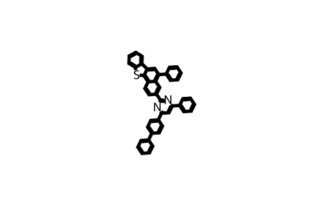 c1ccc(-c2ccc(-c3cc(-c4ccccc4)nc(-c4ccc5c(c4)c(-c4ccccc4)cc4c6ccccc6sc54)n3)cc2)cc1